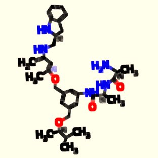 C=C(/C=C(\C)OCc1cc(CO[C@H](C)C(C)C)cc(NC(=O)[C@H](C)NC(=O)[C@H](C)N)c1)NC[C@@H]1Cc2ccccc2N1